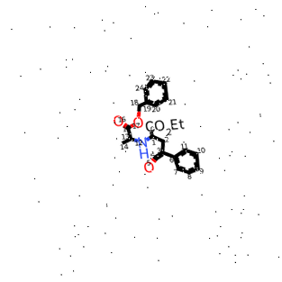 CCOC(=O)C(CC(=C=O)c1ccccc1)NC(C)C(=O)OCc1ccccc1